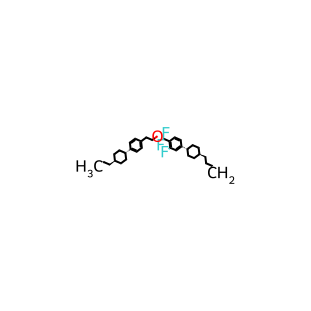 C=CCC[C@H]1CC[C@H](c2ccc(C(F)(F)OCCc3ccc([C@H]4CC[C@H](CCC)CC4)cc3)c(F)c2)CC1